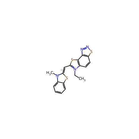 CC[n+]1c(/C=C2\Sc3ccccc3N2C)sc2c3nnsc3ccc21